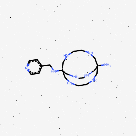 NC12CNCCNCC(NCc3ccncc3)(CNCCNC1)CNCCNC2